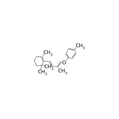 CC(C=CC1=C(C)CCCC1(C)C)=COc1ccc(C)cc1